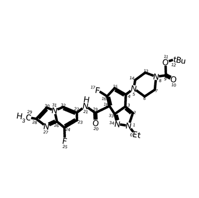 CCn1cc2c(N3CCN(C(=O)OC(C)(C)C)CC3)cc(F)c(C(=O)Nc3cc(F)c4nc(C)cn4c3)c2n1